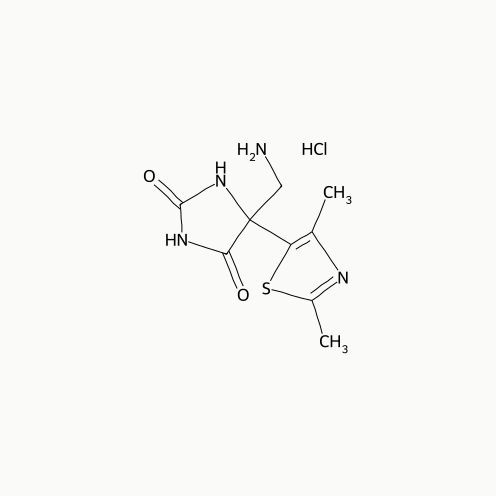 Cc1nc(C)c(C2(CN)NC(=O)NC2=O)s1.Cl